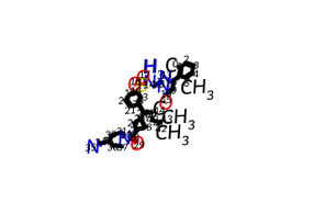 Cc1cccc(C)c1-c1cc2nc(n1)NS(=O)(=O)c1cccc(c1)C(C1CC(C(=O)N3CCC(C#N)CC3)C1)[C@H](CC(C)C)CO2